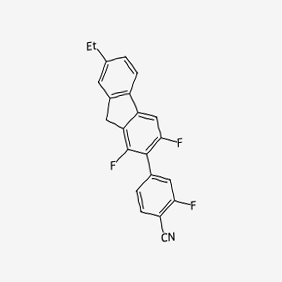 CCc1ccc2c(c1)Cc1c-2cc(F)c(-c2ccc(C#N)c(F)c2)c1F